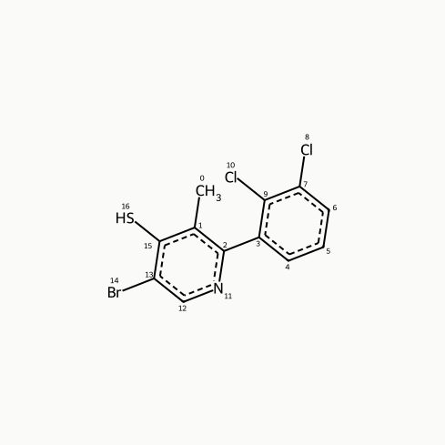 Cc1c(-c2cccc(Cl)c2Cl)ncc(Br)c1S